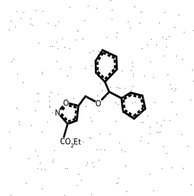 CCOC(=O)c1cc(COC(c2ccccc2)c2ccccc2)on1